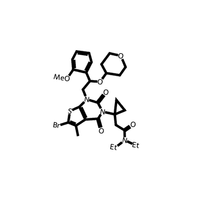 CCN(CC)C(=O)CC1(n2c(=O)c3c(C)c(Br)sc3n(CC(OC3CCOCC3)c3ccccc3OC)c2=O)CC1